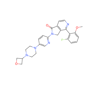 COc1cccc(F)c1-c1nccc2c1CN(c1ccc(N3CCN(C4COC4)CC3)cn1)C2=O